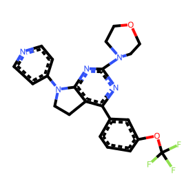 FC(F)(F)Oc1cccc(-c2nc(N3CCOCC3)nc3c2CCN3c2ccncc2)c1